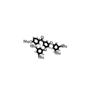 COc1ccc(C(=O)c2cc(Oc3cc(C(C)(C)C)cc(C(C)(C)C)c3)cc(Oc3cc(C(C)(C)C)cc(C(C)(C)C)c3)c2)cc1